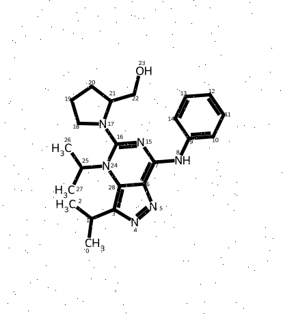 CC(C)c1nnc2c(Nc3ccccc3)nc(N3CCCC3CO)n(C(C)C)c1-2